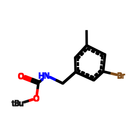 Cc1cc(Br)cc(CNC(=O)OC(C)(C)C)c1